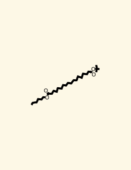 CCCCCCOC(=O)CCCCCCCCCCCCCCCCC(=O)OC(C)(C)C